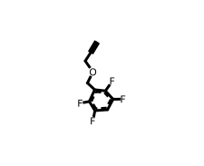 C#CCOCc1c(F)c(F)cc(F)c1F